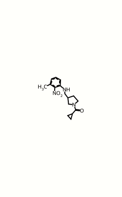 Cc1cccc(NCC2CCN(C(=O)C3CC3)C2)c1[N+](=O)[O-]